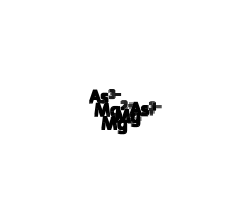 [As-3].[As-3].[Mg+2].[Mg+2].[Mg+2]